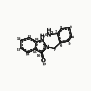 Nc1ccccc1Cn1[nH]c2ccccc2c1=O